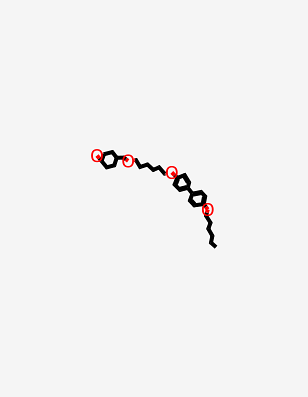 CCCCCCOc1ccc(-c2ccc(OCCCCCCOCC3CCC4OC4C3)cc2)cc1